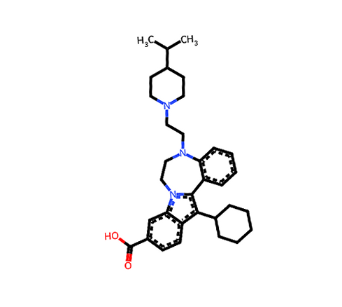 CC(C)C1CCN(CCN2CCn3c(c(C4CCCCC4)c4ccc(C(=O)O)cc43)-c3ccccc32)CC1